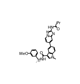 COc1cccc([C@@H](C)NC(=O)c2cn(C)c3ccc(-c4ccn5nc(NC(=O)C(C)C)nc5c4)cc23)c1